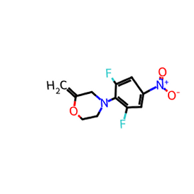 C=C1CN(c2c(F)cc([N+](=O)[O-])cc2F)CCO1